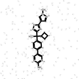 Cn1cc(-c2nc(C(C)(c3ccc(-c4cnc(N)nc4)cc3)C3CCC3)no2)cn1